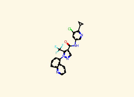 O=C(Nc1cnc(C2CC2)c(Cl)c1)c1cnn(-c2cccc3ncccc23)c1C(F)(F)F